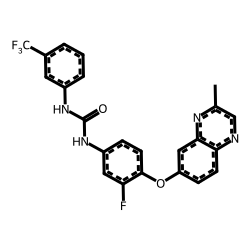 Cc1cnc2ccc(Oc3ccc(NC(=O)Nc4cccc(C(F)(F)F)c4)cc3F)cc2n1